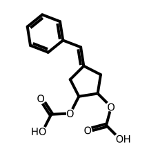 O=C(O)OC1CC(=Cc2ccccc2)CC1OC(=O)O